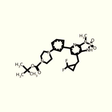 CN1c2nc(-c3cccc(N4CCN(C(=O)OC(C)(C)C)CC4)c3)cc(CC3CC3(F)F)c2NS1(=O)=O